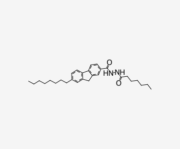 CCCCCCCCc1ccc2c(c1)Cc1cc(C(=O)NNC(=O)CCCCCC)ccc1-2